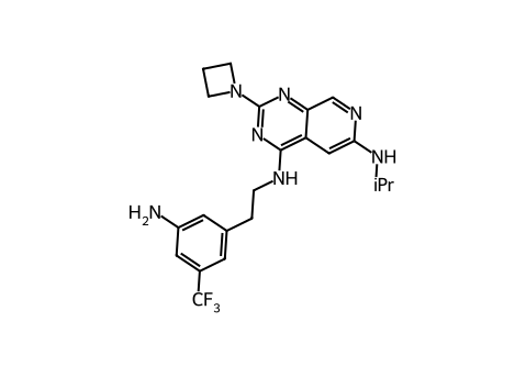 CC(C)Nc1cc2c(NCCc3cc(N)cc(C(F)(F)F)c3)nc(N3CCC3)nc2cn1